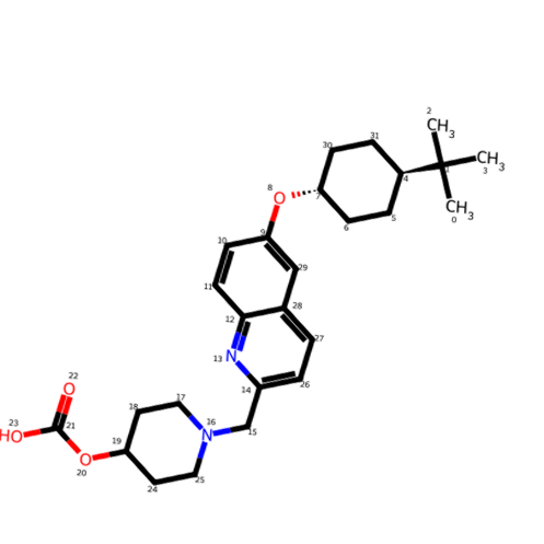 CC(C)(C)[C@H]1CC[C@H](Oc2ccc3nc(CN4CCC(OC(=O)O)CC4)ccc3c2)CC1